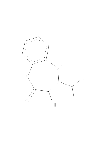 CC(C)C1Sc2ccccc2NC(=O)C1N